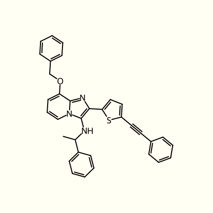 CC(Nc1c(-c2ccc(C#Cc3ccccc3)s2)nc2c(OCc3ccccc3)cccn12)c1ccccc1